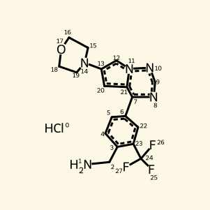 Cl.NCc1ccc(-c2ncnn3cc(N4CCOCC4)cc23)cc1C(F)(F)F